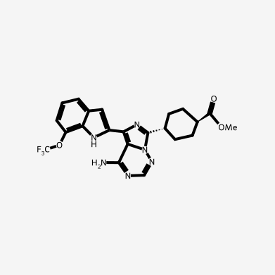 COC(=O)[C@H]1CC[C@H](c2nc(-c3cc4cccc(OC(F)(F)F)c4[nH]3)c3c(N)ncnn32)CC1